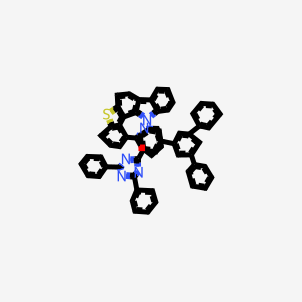 c1ccc(-c2cc(-c3ccccc3)cc(-c3cnc(-c4cccc5sc6ccc7c8ccccc8n(-c8ccccc8)c7c6c45)c(-c4nc(-c5ccccc5)nc(-c5ccccc5)n4)c3)c2)cc1